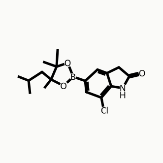 CC(C)CC1(C)OB(c2cc(Cl)c3c(c2)CC(=O)N3)OC1(C)C